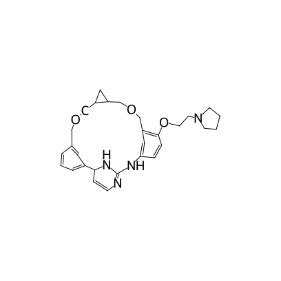 C1=CC2NC(=N1)Nc1ccc(OCCN3CCCC3)c(c1)COCC1CC1COCc1cccc2c1